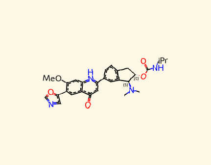 COc1cc2[nH]c(-c3ccc4c(c3)[C@H](N(C)C)[C@@H](OC(=O)NC(C)C)C4)cc(=O)c2cc1-c1cnco1